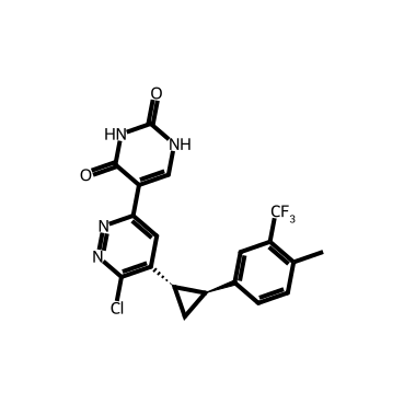 Cc1ccc([C@H]2C[C@@H]2c2cc(-c3c[nH]c(=O)[nH]c3=O)nnc2Cl)cc1C(F)(F)F